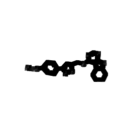 COc1ccc(-c2cc(COc3ncnc4sc5c(c34)CCCC5)on2)cc1